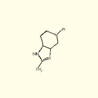 CC1=NC2CN(C(C)C)CCC2N1